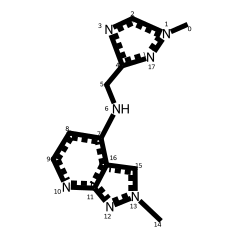 Cn1cnc(CNc2ccnc3nn(C)cc23)n1